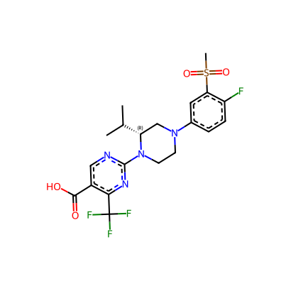 CC(C)[C@@H]1CN(c2ccc(F)c(S(C)(=O)=O)c2)CCN1c1ncc(C(=O)O)c(C(F)(F)F)n1